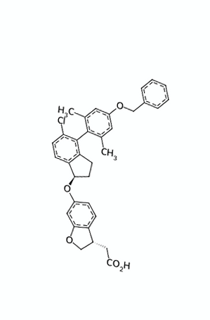 Cc1cc(OCc2ccccc2)cc(C)c1-c1c(Cl)ccc2c1CC[C@H]2Oc1ccc2c(c1)OC[C@H]2CC(=O)O